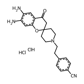 Cl.Cl.N#Cc1ccc(CCN2CCC3(CC2)CC(=O)c2cc(N)c(N)cc2O3)cc1